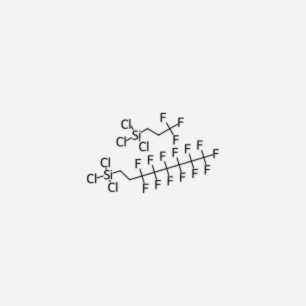 FC(F)(F)C(F)(F)C(F)(F)C(F)(F)C(F)(F)C(F)(F)CC[Si](Cl)(Cl)Cl.FC(F)(F)CC[Si](Cl)(Cl)Cl